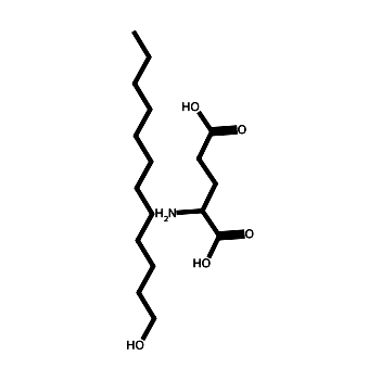 CCCCCCCCCCCCO.NC(CCC(=O)O)C(=O)O